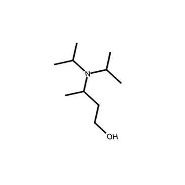 CC(C)N(C(C)C)C(C)CCO